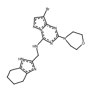 Brc1cnn2c(NCc3nc4c([nH]3)CCCC4)nc(N3CCOCC3)nc12